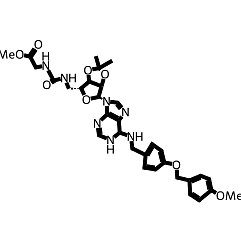 COC(=O)CNC(=O)NC[C@H]1O[C@@H](n2cnc3c2N=CNC3NCc2ccc(OCc3ccc(OC)cc3)cc2)C2OC(C)(C)OC21